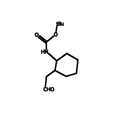 CC(C)(C)OC(=O)NC1CCCCC1CC=O